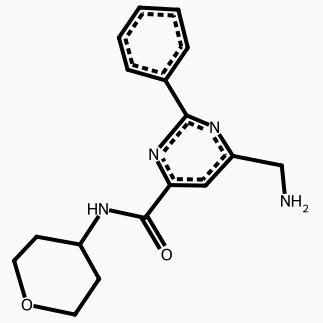 NCc1cc(C(=O)NC2CCOCC2)nc(-c2ccccc2)n1